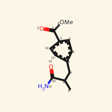 COC(=O)c1ccc(CC(C)C(N)=O)cc1